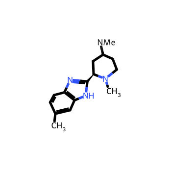 CNC1CCN(C)[C@@H](c2nc3ccc(C)cc3[nH]2)C1